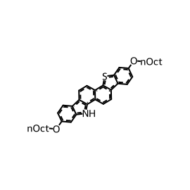 CCCCCCCCOc1ccc2c(c1)[nH]c1c2ccc2c1ccc1c3ccc(OCCCCCCCC)cc3sc12